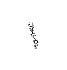 COc1ccc2nc(-c3ccc(/C=C/c4ccc(OCCF)cc4)cc3)sc2c1